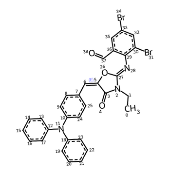 CCN1C(=O)/C(=C\c2ccc(N(c3ccccc3)c3ccccc3)cc2)OC1=Nc1c(Br)cc(Br)cc1C=O